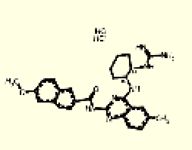 COc1ccc2cc(C(=O)Nc3nc(N[C@H]4CCCC[C@H]4NC(=N)N)c4cc(C)ccc4n3)ccc2c1.Cl.Cl